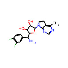 Cc1ncnc2c1ccn2C1OC(C(N)c2ccc(F)c(F)c2)C(O)C1O